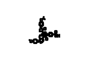 COC1CCN(c2cccc3c2CCN(C(=O)C2CCN(c4ccc(OC(C)C)cc4)C2=O)C3C(=O)Nc2ccc(C(=O)O)cc2)CC1